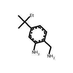 CCC(C)(C)c1ccc(CN)c(N)c1